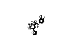 CN1C(C(=O)Nc2ccc(F)c(Cl)c2)CC(c2ccco2)NS1(=O)=O